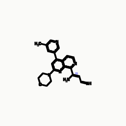 Cc1cncc(-c2cc(N3CCOCC3)nc3c(/C(N)=C/C=N)nccc23)c1